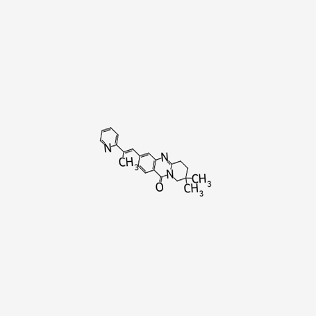 C/C(=C\c1ccc2c(=O)n3c(nc2c1)CCC(C)(C)C3)c1ccccn1